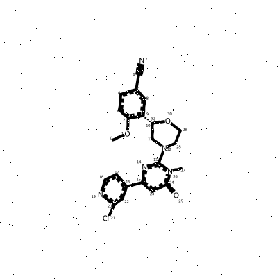 COc1ccc(C#N)cc1[C@H]1CN(c2nc(-c3ccnc(Cl)c3)cc(=O)n2C)CCO1